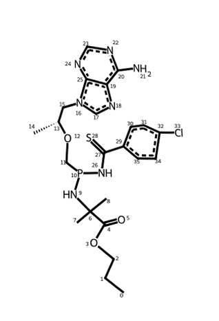 CCCOC(=O)C(C)(C)NP(CO[C@H](C)Cn1cnc2c(N)ncnc21)NC(=S)c1ccc(Cl)cc1